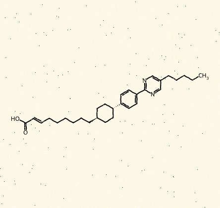 CCCCCc1cnc(-c2ccc([C@H]3CC[C@H](CCCCCC/C=C/C(=O)O)CC3)cc2)nc1